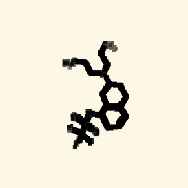 CCCN(CCC)[C@H]1CCc2cccc(OS(=O)(=O)C(F)(F)F)c2C1